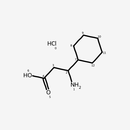 Cl.NC(CC(=O)O)C1CCCCC1